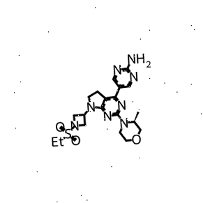 CCS(=O)(=O)N1CC(N2CCc3c(-c4cnc(N)nc4)nc(N4CCOC[C@@H]4C)nc32)C1